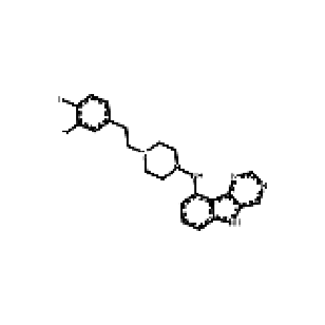 Fc1ccc(CCN2CCN(Nc3cccc4[nH]c5cncnc5c34)CC2)cc1F